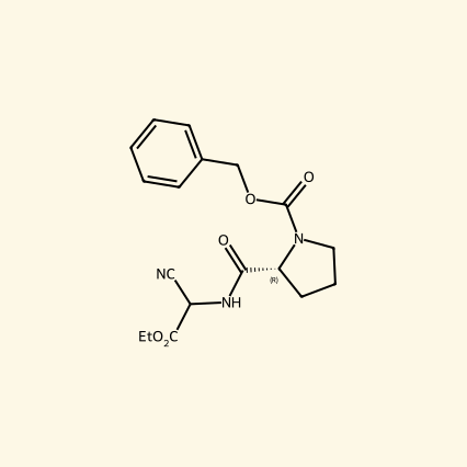 CCOC(=O)C(C#N)NC(=O)[C@H]1CCCN1C(=O)OCc1ccccc1